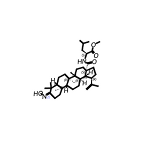 C=C(C)[C@@H]1CC[C@]2(C(=O)N[C@@H](CC(C)C)C(=O)OC)CC[C@]3(C)[C@H](CC[C@@H]4[C@@]5(C)CC/C(=N/O)C(C)(C)[C@@H]5CC[C@]43C)[C@@H]12